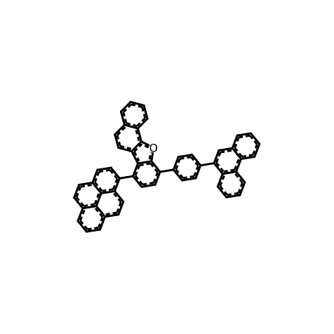 c1ccc2c(c1)cc(-c1ccc(-c3ccc(-c4ccc5ccc6cccc7ccc4c5c67)c4c3oc3c5ccccc5ccc34)cc1)c1ccccc12